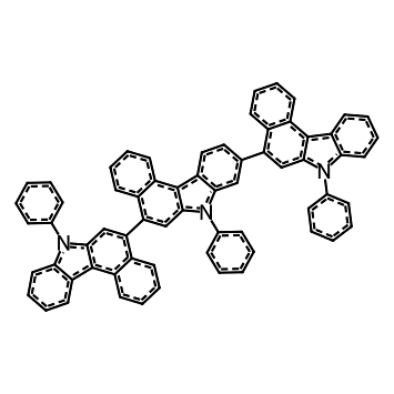 c1ccc(-n2c3ccccc3c3c4ccccc4c(-c4ccc5c6c7ccccc7c(-c7cc8c(c9ccccc79)c7ccccc7n8-c7ccccc7)cc6n(-c6ccccc6)c5c4)cc32)cc1